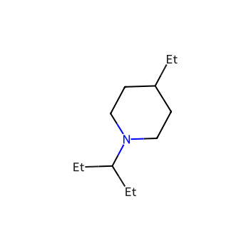 CCC1CCN(C(CC)CC)CC1